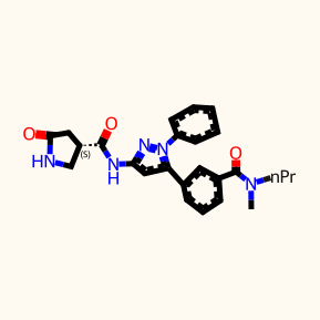 CCCN(C)C(=O)c1cccc(-c2cc(NC(=O)[C@@H]3CNC(=O)C3)nn2-c2ccccc2)c1